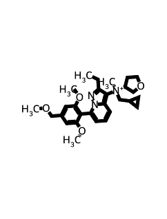 CCc1nn2c(-c3c(OC)cc(COC)cc3OC)cccc2c1[N+](C)(CC1CC1)C1CCOC1